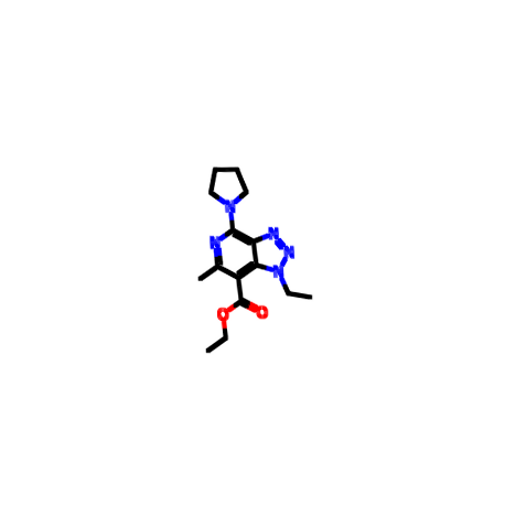 CCOC(=O)c1c(C)nc(N2CCCC2)c2nnn(CC)c12